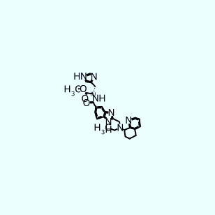 CCN(Cc1nc2cc(C(=O)N[C@@H](Cc3c[nH]cn3)C(=O)OC)ccc2[nH]1)C1CCCc2cccnc21